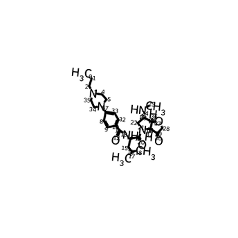 CCCN1CCN(c2ccc(C(=O)NC(CC(C)C)C(=O)N3C[C@H](NC)[C@H]4OCC(=O)[C@H]43)cc2)CC1